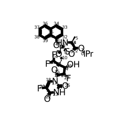 CC(C)OC(=O)[C@H](C)NP(=S)(OC[C@@]1(C(F)F)O[C@@H](n2cc(F)c(=O)[nH]c2=O)[C@H](F)[C@@H]1O)Oc1cccc2ccccc12